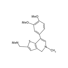 CNCc1cc2c(s1)C(c1ccc(OC)c(OC)c1)=CN(C)C2